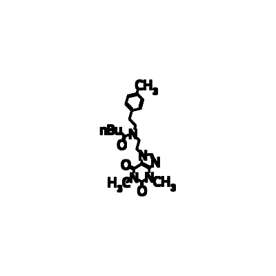 CCCCC(=O)N(CCc1ccc(C)cc1)CCn1cnc2c1c(=O)n(C)c(=O)n2C